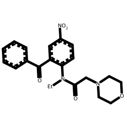 CCN(C(=O)CN1CCOCC1)c1ccc([N+](=O)[O-])cc1C(=O)c1ccccc1